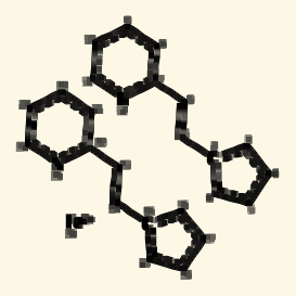 C(=C[c-]1cccc1)c1ccccn1.C(=C[c-]1cccc1)c1ccccn1.[Fe+2]